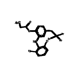 CC(=O)OCC(=O)Oc1ccc(CC(Br)(Br)Br)cc1Nc1c(Cl)cccc1Cl